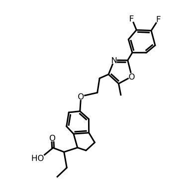 CCC(C(=O)O)C1CCc2cc(OCCc3nc(-c4ccc(F)c(F)c4)oc3C)ccc21